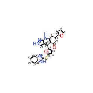 O=C1CC(c2ccco2)CC2=C1C(c1ccc(SC3=NC4C=CC=CC4N3)o1)c1c[nH]nc1N2